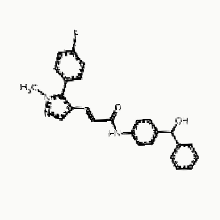 Cn1ncc(C=CC(=O)Nc2ccc(C(O)c3ccccc3)cc2)c1-c1ccc(F)cc1